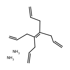 C=CCC(CC=C)=C(CC=C)CC=C.N.N